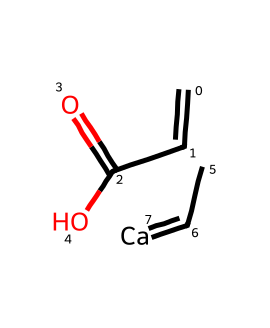 C=CC(=O)O.C[CH]=[Ca]